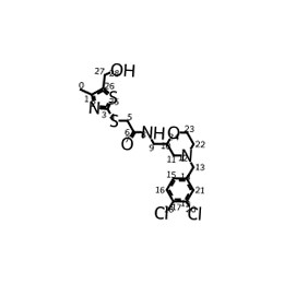 Cc1nc(SCC(=O)NCC2CN(Cc3ccc(Cl)c(Cl)c3)CCO2)sc1CO